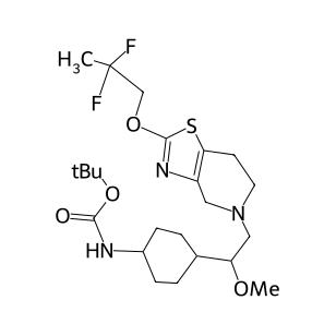 COC(CN1CCc2sc(OCC(C)(F)F)nc2C1)C1CCC(NC(=O)OC(C)(C)C)CC1